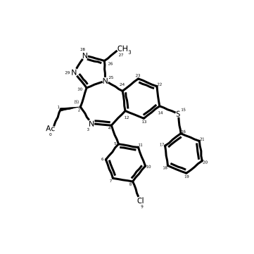 CC(=O)C[C@@H]1N=C(c2ccc(Cl)cc2)c2cc(Sc3ccccc3)ccc2-n2c(C)nnc21